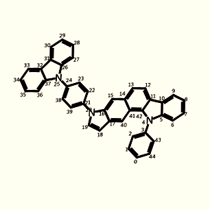 c1ccc(-n2c3ccccc3c3ccc4cc5c(ccn5-c5ccc(-n6c7ccccc7c7ccccc76)cc5)cc4c32)cc1